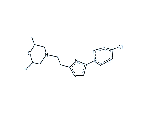 CC1CN(CCc2nc(-c3ccc(Cl)cc3)cs2)CC(C)O1